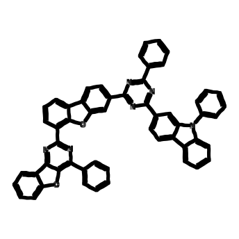 c1ccc(-c2nc(-c3ccc4c(c3)oc3c(-c5nc(-c6ccccc6)c6oc7ccccc7c6n5)cccc34)nc(-c3ccc4c5ccccc5n(-c5ccccc5)c4c3)n2)cc1